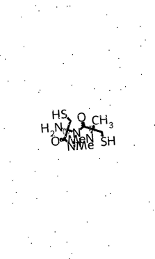 CNC(=O)[C@@](N)(CS)NC(=O)[C@](C)(CS)NC